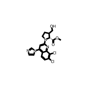 COC(=O)[C@H]1C(CO)CCN1c1cc(-n2ccnc2)c2ccc(Cl)c(Cl)c2n1